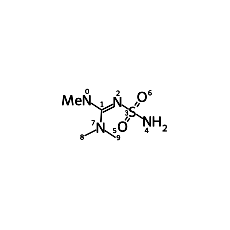 CN/C(=N/S(N)(=O)=O)N(C)C